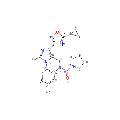 Cc1nc(-c2noc(C3CC3)n2)c2n1-c1ccc(F)cc1N(C(=O)N1CCCC1)C2